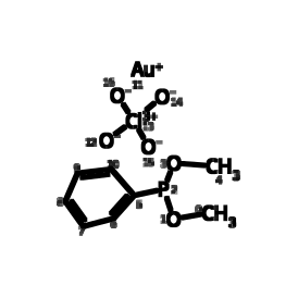 COP(OC)c1ccccc1.[Au+].[O-][Cl+3]([O-])([O-])[O-]